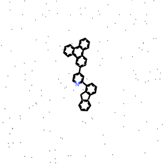 c1ccc2c(c1)Cc1c(-c3cc(-c4ccc5c6ccccc6c6ccccc6c5c4)ccn3)cccc1-2